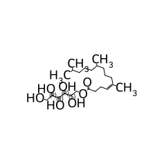 CC(=CCCC(=O)OC[C@H](O)[C@@H](O)[C@H](O)[C@H](O)CO)CCCC(C)CCCC(C)C